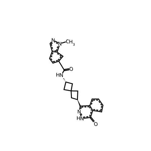 Cn1ncc2ccc(C(=O)N[C@H]3CC4(C3)C[C@H](c3n[nH]c(=O)c5ccccc53)C4)cc21